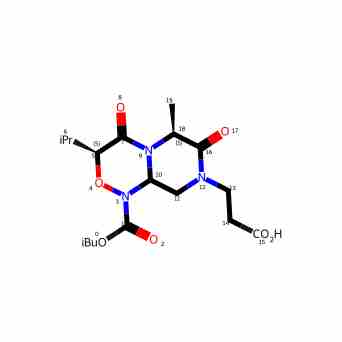 CC(C)COC(=O)N1O[C@@H](C(C)C)C(=O)N2C1CN(CCC(=O)O)C(=O)[C@@H]2C